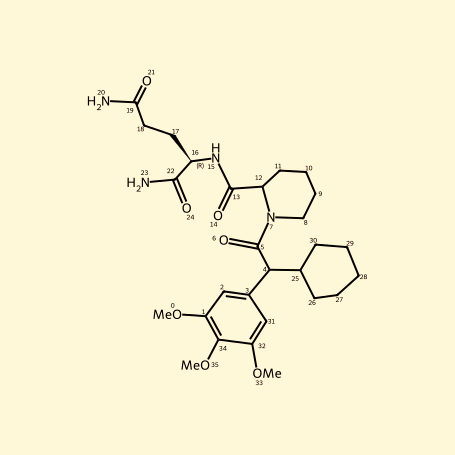 COc1cc(C(C(=O)N2CCCCC2C(=O)N[C@H](CCC(N)=O)C(N)=O)C2CCCCC2)cc(OC)c1OC